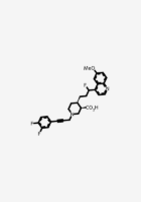 COc1ccc2nccc(C(F)CC[C@@H]3CCN(CC#Cc4ccc(F)c(F)c4)C[C@@H]3C(=O)O)c2c1